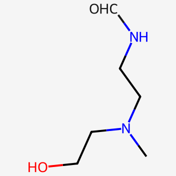 CN(CCO)CCNC=O